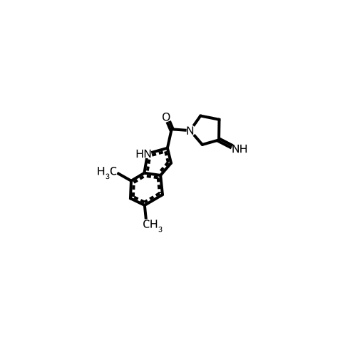 Cc1cc(C)c2[nH]c(C(=O)N3CCC(=N)C3)cc2c1